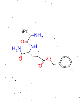 CC(C)[C@H](N)C(=O)N[C@H](CCC(=O)OCc1ccccc1)C(N)=O